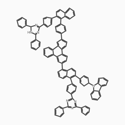 C1=CC(n2c3ccccc3c3ccccc32)CC=C1c1ccc2c(-c3ccc4c5ccc(-c6ccc(-c7c(-c8ccc(C9=NC(c%10ccccc%10)NC(c%10ccccc%10)=N9)cc8)ccc8ccccc78)cc6)cc5c5ccccc5c4c3)cccc2c1-c1ccc(-c2nc(-c3ccccc3)nc(-c3ccccc3)n2)cc1